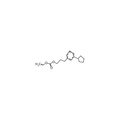 C=COC(=O)OCCCc1cccc(C2CCCC2)c1